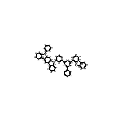 c1ccc(-c2nc(-c3cccc(-n4c5ccccc5c5cc6c7ccccc7n(-c7ccccc7)c6cc54)c3)nc(-c3cccc4c3oc3ccccc34)n2)cc1